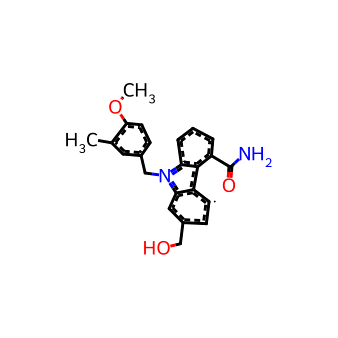 COc1ccc(Cn2c3cc(CO)c[c]c3c3c(C(N)=O)cccc32)cc1C